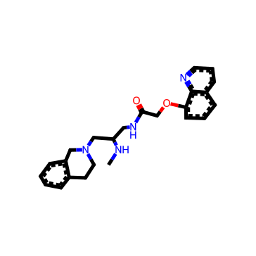 CNC(CNC(=O)COc1cccc2cccnc12)CN1CCc2ccccc2C1